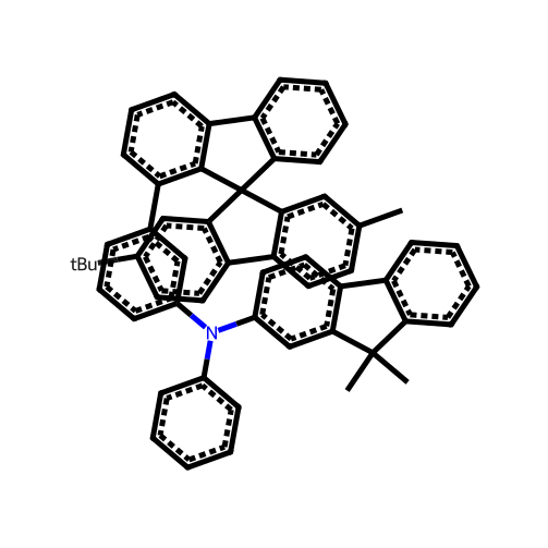 Cc1ccc2c(c1)C1(c3cc(C(C)(C)C)ccc3-2)c2ccccc2-c2cccc(-c3cccc(N(c4ccccc4)c4ccc5c(c4)C(C)(C)c4ccccc4-5)c3)c21